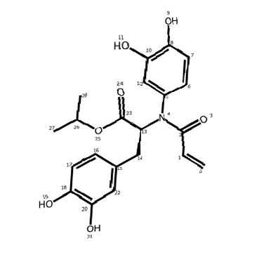 C=CC(=O)N(c1ccc(O)c(O)c1)[C@@H](Cc1ccc(O)c(O)c1)C(=O)OC(C)C